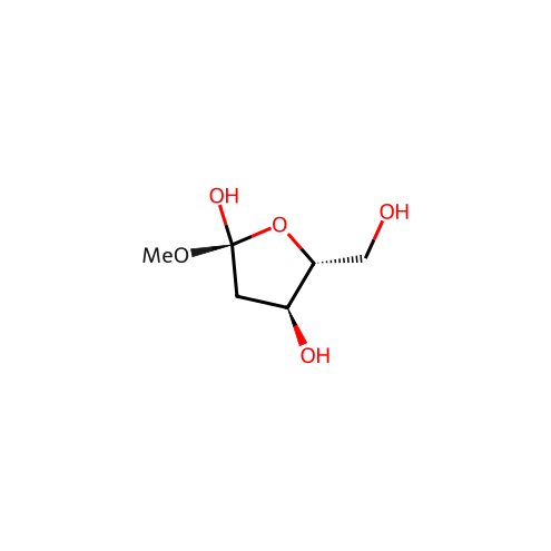 CO[C@]1(O)C[C@H](O)[C@@H](CO)O1